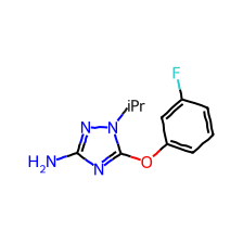 CC(C)n1nc(N)nc1Oc1cccc(F)c1